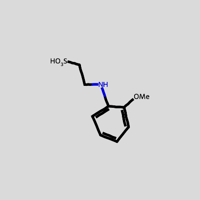 COc1ccccc1NCCS(=O)(=O)O